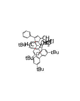 Cl.Cl.[CH2]=[Zr]([C]1=C(C)C(c2ccccc2)=CC1C)([c]1ccc(C(C)(C)C)cc1)([c]1ccc(C(C)(C)C)cc1)[c]1cc(C(C)(C)C)cc2c1Cc1ccc(C(C)(C)C)cc1-2